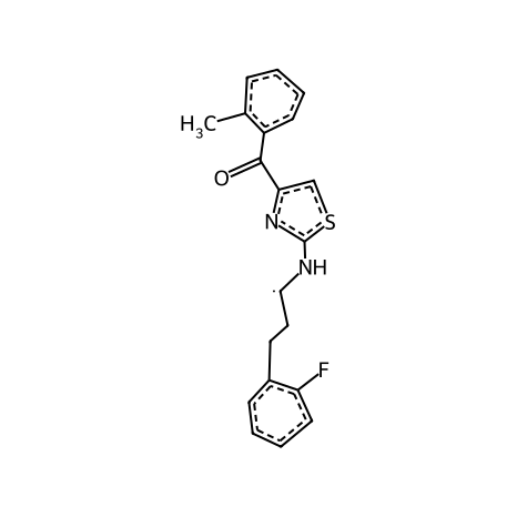 Cc1ccccc1C(=O)c1csc(N[CH]CCc2ccccc2F)n1